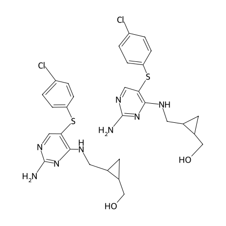 Nc1ncc(Sc2ccc(Cl)cc2)c(NCC2CC2CO)n1.Nc1ncc(Sc2ccc(Cl)cc2)c(NCC2CC2CO)n1